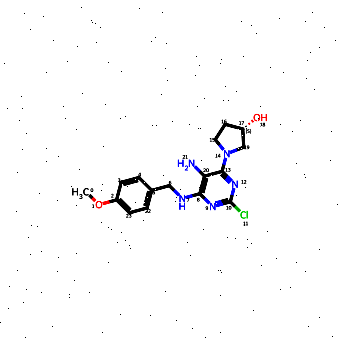 COc1ccc(CNc2nc(Cl)nc(N3CC[C@H](O)C3)c2N)cc1